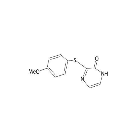 COc1ccc(Sc2ncc[nH]c2=O)cc1